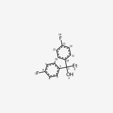 C[CH]C(O)(c1ccc(F)cc1)c1ccc(F)cc1